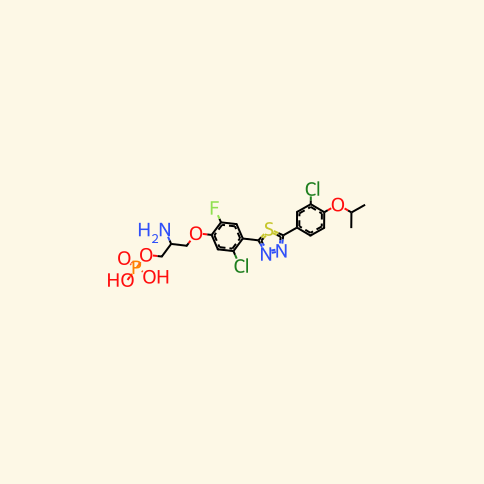 CC(C)Oc1ccc(-c2nnc(-c3cc(F)c(OCC(N)COP(=O)(O)O)cc3Cl)s2)cc1Cl